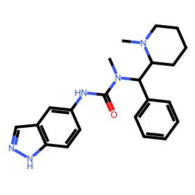 CN1CCCCC1C(c1ccccc1)N(C)C(=O)Nc1ccc2[nH]ncc2c1